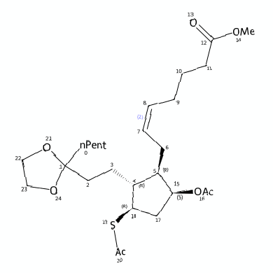 CCCCCC1(CC[C@@H]2[C@@H](C/C=C\CCCC(=O)OC)[C@@H](OC(C)=O)C[C@H]2SC(C)=O)OCCO1